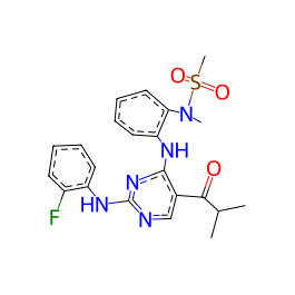 CC(C)C(=O)c1cnc(Nc2ccccc2F)nc1Nc1ccccc1N(C)S(C)(=O)=O